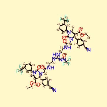 CCOC(=O)C1=C(C)N(c2cccc(C(F)(F)F)c2)C(=O)N(CC(=O)NCC/N=C(/NCCNC(=O)CN2C(=O)N(c3cccc(C(F)(F)F)c3)C(C)=C(C(=O)OCC)[C@H]2c2ccc(C#N)cc2)NC(=O)C(F)(F)F)[C@@H]1c1ccc(C#N)cc1